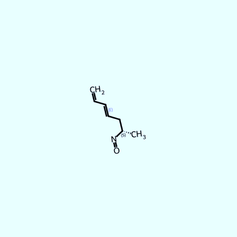 C=C/C=C/C[C@H](C)N=O